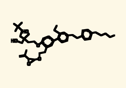 C=C(C)C1OC1OCCc1cc(-c2ccc(CCc3ccc(CCCCC)cc3)cc2CC)ccc1OCCC(CO)(CO)CCC(C)(C)C